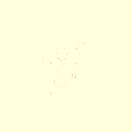 Cc1ccc(C2=C(c3ccc(F)cc3)[B-](c3ccc(F)cc3)(c3ccc(F)cc3)[N+](C)(C)CC2)cc1